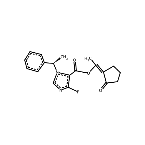 C/C(OC(=O)c1c(F)ncn1[C@H](C)c1ccccc1)=C1\CCCC1=O